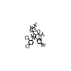 CC(C)NC(=O)c1c(-c2nnc(C(C)(C)C)s2)nn(-c2ccc(Cl)cc2Cl)c1-c1ccc(Br)cc1